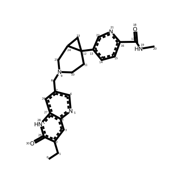 CCc1cc2ncc(CN3CCC4(c5ccc(C(=O)NC)nc5)CC4C3)cc2[nH]c1=O